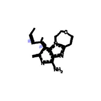 C=c1nc(N)c2nc3n(c2/c1=C(C)/C=C\C)CCOCC3